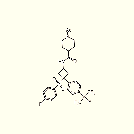 CC(=O)N1CCC(C(=O)NC2CC(c3ccc(C(F)(C(F)(F)F)C(F)(F)F)cc3)(S(=O)(=O)c3ccc(F)cc3)C2)CC1